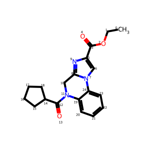 CCOC(=O)c1cn2c(n1)CN(C(=O)C1CCCC1)c1ccccc1-2